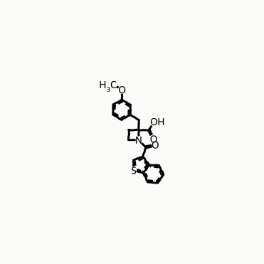 COc1cccc(CC2(C(=O)O)CCN2C(=O)c2csc3ccccc23)c1